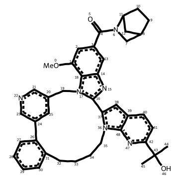 COc1cc(C(=O)N2CC3CCC2C3)cc2nc3n(c12)Cc1cncc(c1)-c1ccccc1CCCCn1c-3cc2ccc(C(C)(C)O)nc21